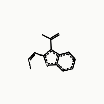 C=C(C)c1c(/C=C\C)sc2ccccc12